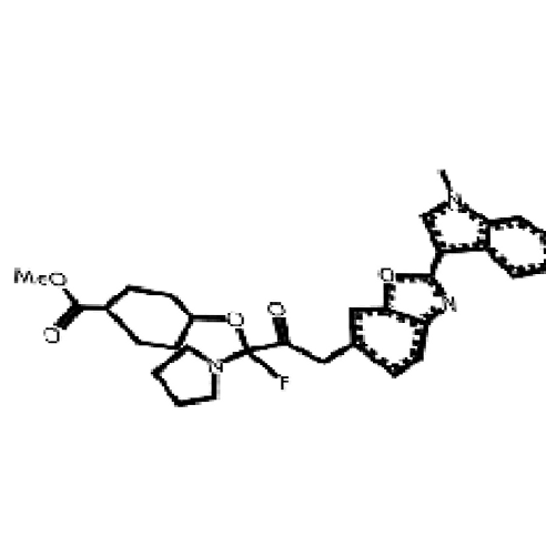 COC(=O)C1CCC(OC(F)(C(=O)Cc2ccc3nc(-c4cn(C)c5ccc(F)cc45)oc3c2)N2CCCC2)CC1